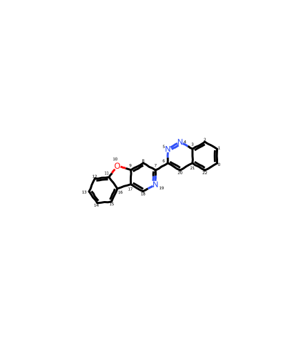 c1ccc2nnc(-c3cc4oc5ccccc5c4cn3)cc2c1